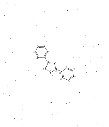 C1=C(c2ccccn2)SCN1c1ccccc1